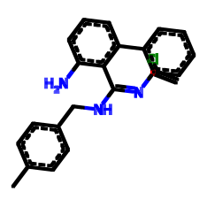 C=C(Cl)/N=C(/NCc1ccc(C)cc1)c1c(N)cccc1-c1ccccc1